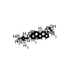 CC(NC(=O)[C@]12CCCC1C1CC[C@@H]3[C@@]4(C)CC[C@H](OC(=O)C5C[C@@H](C(=O)O)C5(C)C)C(C)(C)[C@@H]4CC[C@@]3(C)[C@]1(C)CC2)C(=O)O